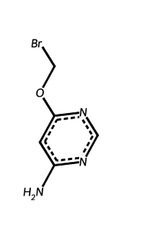 Nc1cc(OCBr)ncn1